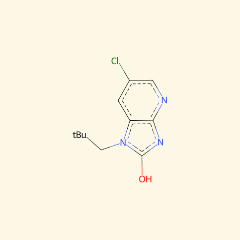 CC(C)(C)Cn1c(O)nc2ncc(Cl)cc21